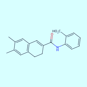 Cc1cc2c(cc1C)CCC(C(=O)Nc1ccccc1C(=O)O)=C2